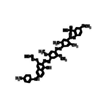 COc1ccc(N=Nc2cc(C)c(N=Nc3cc(OC)c(N=Nc4c(SOOO)cc5cc(Nc6ccc(N)cc6)ccc5c4O)cc3OC)cc2C)c(S(=O)(=O)O)c1